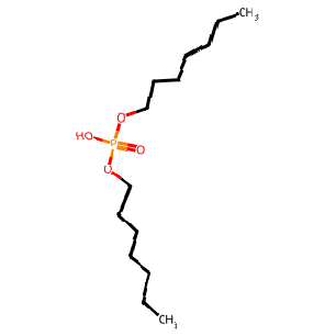 CCCCCCCOP(=O)(O)OCCCCCCC